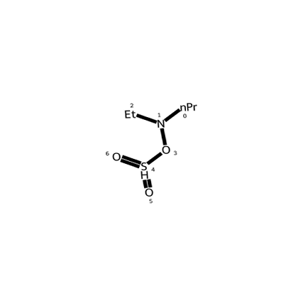 CCCN(CC)O[SH](=O)=O